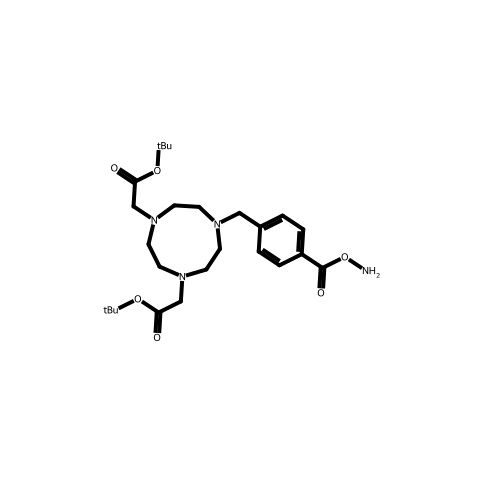 CC(C)(C)OC(=O)CN1CCN(CC(=O)OC(C)(C)C)CCN(Cc2ccc(C(=O)ON)cc2)CC1